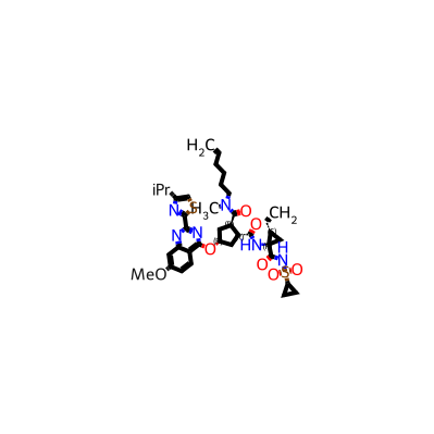 C=CCCCCN(C)C(=O)[C@@H]1C[C@H](Oc2nc(-c3nc(C(C)C)cs3)nc3cc(OC)ccc23)C[C@H]1C(=O)N[C@]1(C(=O)NS(=O)(=O)C2CC2)C[C@H]1C=C